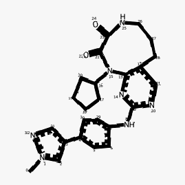 Cn1cc(-c2ccc(Nc3ncc4c(n3)N(C3CCCC3)C(=O)C(=O)NCCC4)cc2)cn1